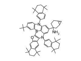 CC(C)(C)c1ccc2c(c1)B1c3oc4cc5c(cc4c3N(c3ccc4c(c3)C(C)(C)CCC4(C)C)c3cc(C4(N)CCC6=CC6C4)cc(c31)N2c1ccc2c(c1)C(C)(C)CCC2(C)C)C(C)(C)CCC5(C)C